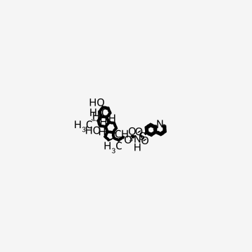 CC[C@H]1[C@@H](O)[C@@H]2[C@H](CC[C@]3(C)[C@@H]([C@H](C)COC(=O)NS(=O)(=O)c4ccc5ncccc5c4)CC[C@@H]23)[C@@]2(C)CC[C@@H](O)C[C@@H]12